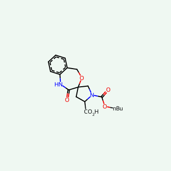 CCCCOC(=O)N1CC2(CC1C(=O)O)OCc1ccccc1NC2=O